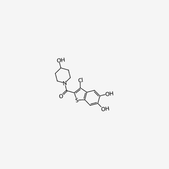 O=C(c1sc2cc(O)c(O)cc2c1Cl)N1CCC(O)CC1